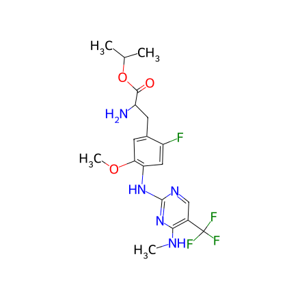 CNc1nc(Nc2cc(F)c(CC(N)C(=O)OC(C)C)cc2OC)ncc1C(F)(F)F